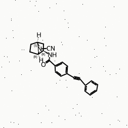 N#CN1[C@H]2CC[C@@H]1[C@H](NC(=O)c1ccc(C#Cc3ccccc3)cc1)C2